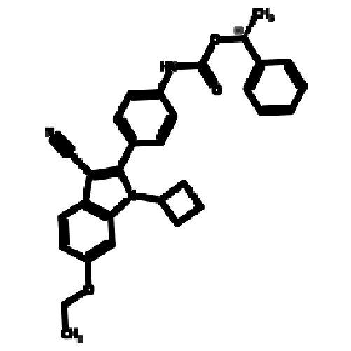 CCOc1ccc2c(C#N)c(-c3ccc(NC(=O)O[C@H](C)c4ccccc4)cc3)n(C3CCC3)c2c1